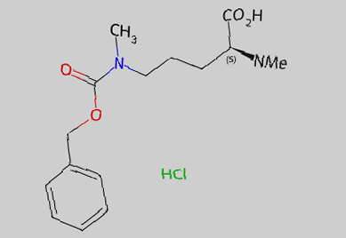 CN[C@@H](CCCN(C)C(=O)OCc1ccccc1)C(=O)O.Cl